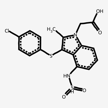 Cc1c(Sc2ccc(Cl)cc2)c2c(N[SH](=O)=O)cccc2n1CC(=O)O